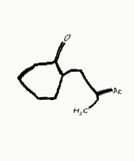 CC(=O)C(C)CC1CCCCC1=O